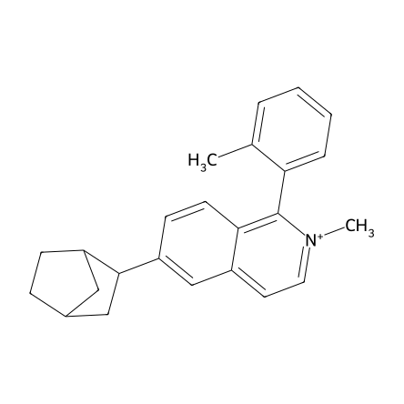 Cc1ccccc1-c1c2ccc(C3CC4CCC3C4)cc2cc[n+]1C